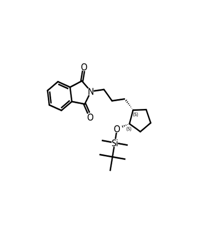 CC(C)(C)[Si](C)(C)O[C@H]1CCC[C@H]1CCCN1C(=O)c2ccccc2C1=O